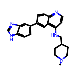 CN1CCC(CNc2[c]cnc3ccc(-c4ccc5[nH]cnc5c4)cc23)CC1